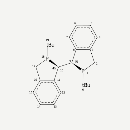 CC(C)(C)P1Cc2ccccc2[C@@H]1[C@H]1c2ccccc2CP1C(C)(C)C